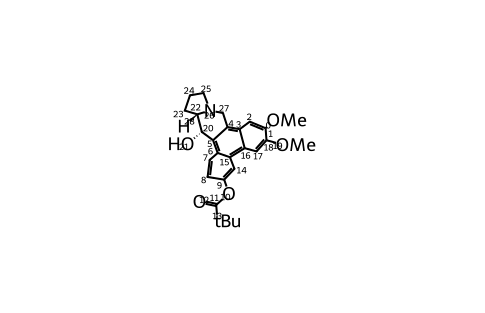 COc1cc2c3c(c4ccc(OC(=O)C(C)(C)C)cc4c2cc1OC)[C@H](O)[C@@H]1CCCN1C3